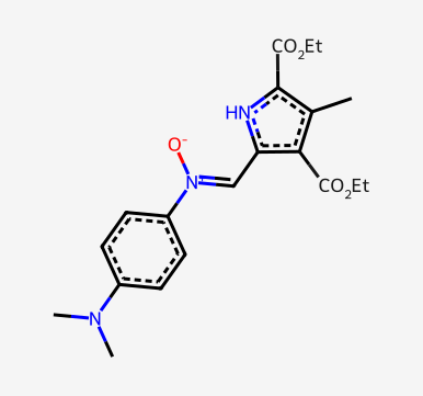 CCOC(=O)c1[nH]c(C=[N+]([O-])c2ccc(N(C)C)cc2)c(C(=O)OCC)c1C